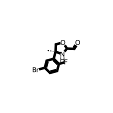 C[C@]1(c2cc(Br)ccc2F)COC(C=O)N1